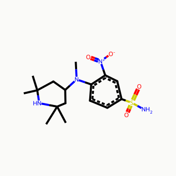 CN(c1ccc(S(N)(=O)=O)cc1[N+](=O)[O-])C1CC(C)(C)NC(C)(C)C1